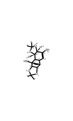 CC1(C)OC2C3C=CC(S)(C2O1)C1C3C=C(S)[C@H]2OC(C)(C)O[C@@H]12